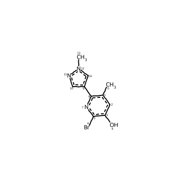 Cc1cc(O)c(Br)nc1-c1cnn(C)c1